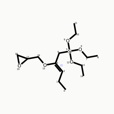 CC/C=C(/C[Si](OCC)(OCC)OCC)OCC1CO1